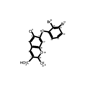 O=C(O)C1=Cc2cc(Cl)c(Oc3cccc(Br)c3Br)cc2OC1C(F)(F)F